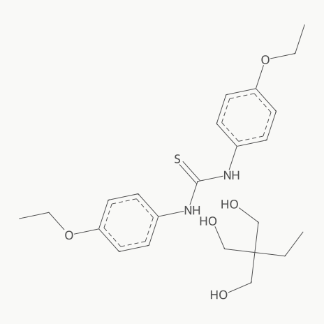 CCC(CO)(CO)CO.CCOc1ccc(NC(=S)Nc2ccc(OCC)cc2)cc1